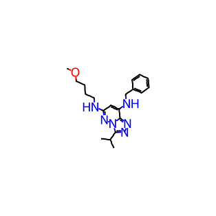 COCCCCNc1cc(NCc2ccccc2)c2nnc(C(C)C)n2n1